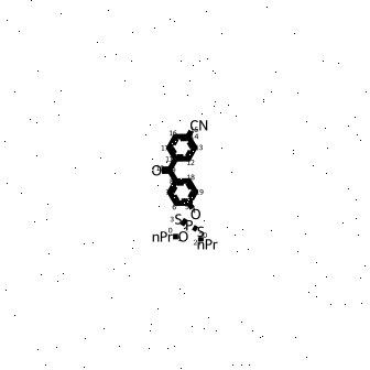 CCCOP(=S)(Oc1ccc(C(=O)c2ccc(C#N)cc2)cc1)SCCC